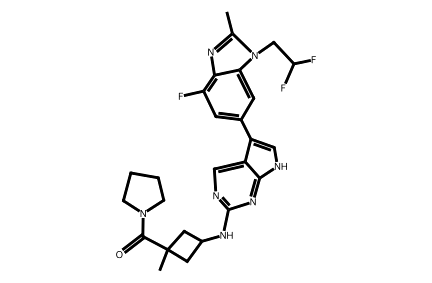 Cc1nc2c(F)cc(-c3c[nH]c4nc(NC5CC(C)(C(=O)N6CCCC6)C5)ncc34)cc2n1CC(F)F